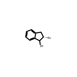 CC(=O)[C@H]1Cc2ccccc2C1C(C)C